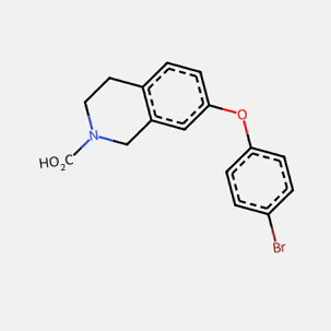 O=C(O)N1CCc2ccc(Oc3ccc(Br)cc3)cc2C1